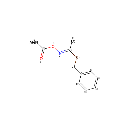 CCC(=NOC(=O)NC)SCc1ccccc1